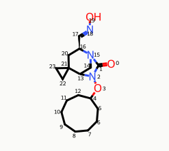 O=C1N(OC2CCCCCCCC2)C2CN1[C@H](/C=N/O)CC21CC1